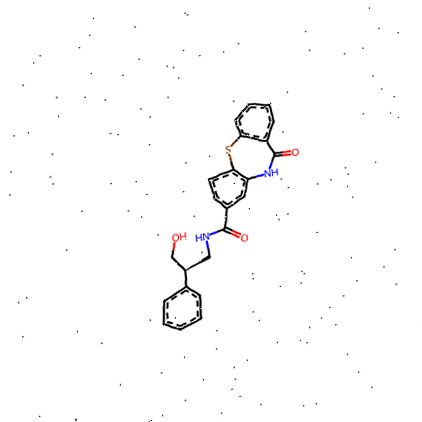 O=C(NC[C@H](CO)c1ccccc1)c1ccc2c(c1)NC(=O)c1ccccc1S2